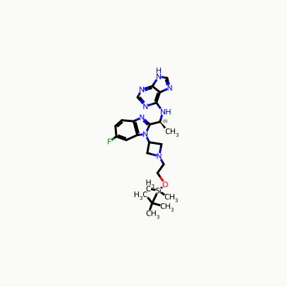 C[C@H](Nc1ncnc2[nH]cnc12)c1nc2ccc(F)cc2n1C1CN(CCO[Si](C)(C)C(C)(C)C)C1